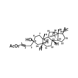 CC(=O)OC#CC[C@]1(O)CC[C@@]2(C)[C@H](CC[C@@H]3[C@@H]2CC[C@]2(C)[C@@H](C(C)=O)CC[C@@H]32)C1